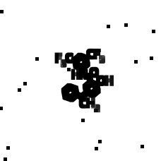 C=C(c1ccccc1)c1ccc(O)c(C(=O)Nc2cc(C(F)(F)F)cc(C(F)(F)F)c2)c1